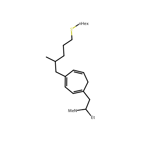 CCCCCCSCCCC(C)CC1=CC=C(CC(CC)NC)CC=C1